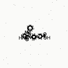 O=C(O)C1CCN(c2ccc(Nc3nc(N4CCCCCC4)nc4cn[nH]c(=O)c34)cc2)CC1